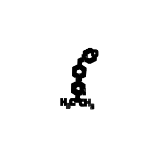 CC(C)c1ccc(N2CCC(CN3CCOCC3)CC2)cn1